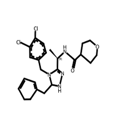 C[C@@H](NC(=O)C1CCOCC1)C1=NNC(CC2=CC=CCC2)N1Cc1ccc(Cl)c(Cl)c1